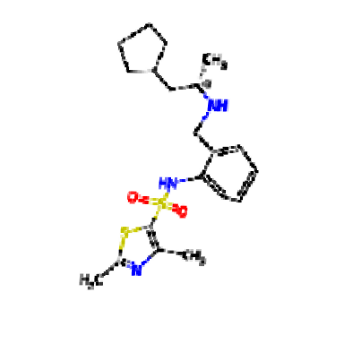 Cc1nc(C)c(S(=O)(=O)Nc2ccccc2CN[C@@H](C)CC2CCCC2)s1